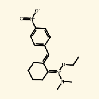 CCO[N+](=C1CCCCC1=Cc1ccc([N+](=O)[O-])cc1)N(C)C